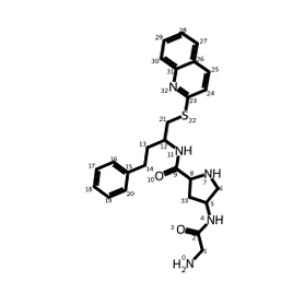 NCC(=O)NC1CNC(C(=O)NC(CCc2ccccc2)CSc2ccc3ccccc3n2)C1